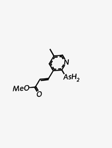 COC(=O)C=Cc1cc(C)cnc1[AsH2]